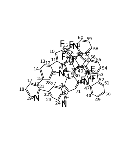 N#Cc1cc(-n2c3ccccc3c3ccc(-c4cccnc4-c4ccccc4)cc32)c(-c2cc(C(F)(F)F)ccc2C(F)(F)F)c(-n2c3ccccc3c3ccc(-c4cccnc4-c4ccccc4)cc32)c1